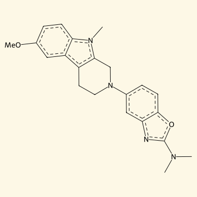 COc1ccc2c(c1)c1c(n2C)CN(c2ccc3oc(N(C)C)nc3c2)CC1